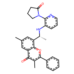 Cc1cc([C@@H](C)Nc2cccnc2N2CCCC2=O)c2oc(-c3ccccc3)c(C)c(=O)c2c1